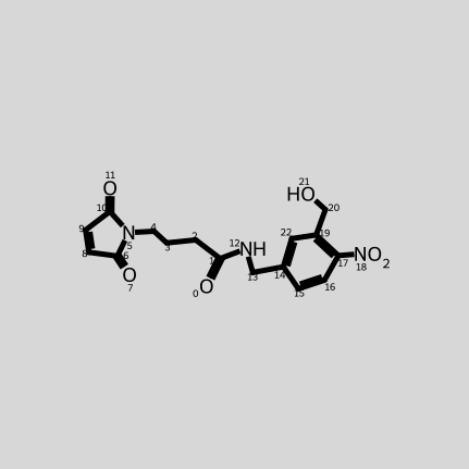 O=C(CCCN1C(=O)C=CC1=O)NCc1ccc([N+](=O)[O-])c(CO)c1